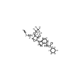 C#CCNC[C@H]1O[C@@H](n2cnc3c(NC(=O)c4ccccc4)ncnc32)[C@H](OC)[C@@H]1O[Si](C)(C)C(C)(C)C